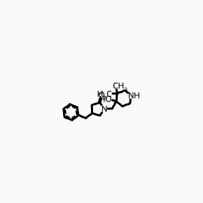 CC1(C)CNCCC1(O)CN1CC(Cc2ccccc2)CC1=O